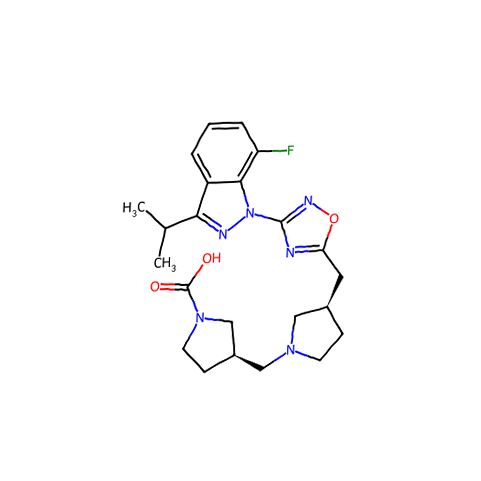 CC(C)c1nn(-c2noc(C[C@H]3CCN(C[C@H]4CCN(C(=O)O)C4)C3)n2)c2c(F)cccc12